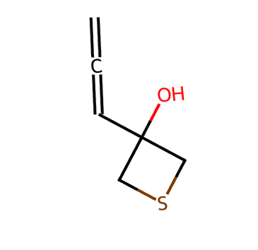 C=C=CC1(O)CSC1